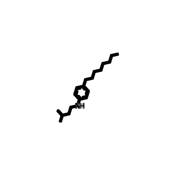 CCCCCCCCc1ccc(NCCC(C)C)cc1